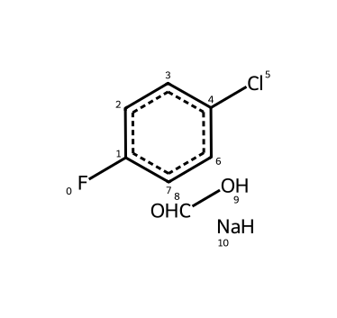 Fc1ccc(Cl)cc1.O=CO.[NaH]